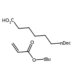 C=CC(=O)OC(C)(C)C.CCCCCCCCCCCCCCCC(=O)O